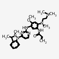 C=CC(=O)Nc1cc(Nc2nccc(N3c4ccccc4C(C)N3C)n2)c(OC)cc1N(C)CCN(C)C